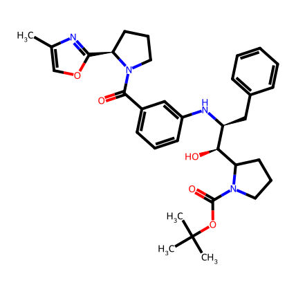 Cc1coc([C@H]2CCCN2C(=O)c2cccc(N[C@@H](Cc3ccccc3)[C@H](O)C3CCCN3C(=O)OC(C)(C)C)c2)n1